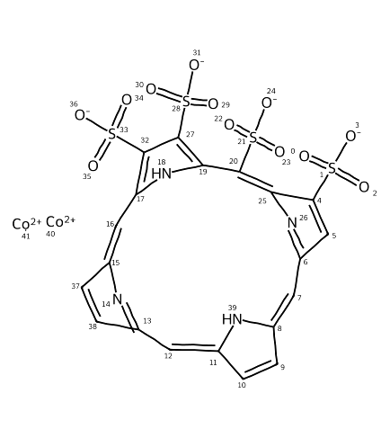 O=S(=O)([O-])C1=Cc2cc3ccc(cc4nc(cc5[nH]c(c(S(=O)(=O)[O-])c1n2)c(S(=O)(=O)[O-])c5S(=O)(=O)[O-])C=C4)[nH]3.[Co+2].[Co+2]